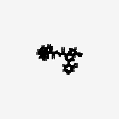 O=C(NCCNc1cc(-c2ccccc2Cl)nc2c(Br)cnn12)N[C@]12[C@@H]3C[C@H]4C[C@H]1CC2(C4)C3